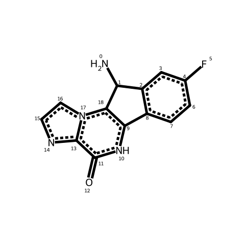 NC1c2cc(F)ccc2-c2[nH]c(=O)c3nccn3c21